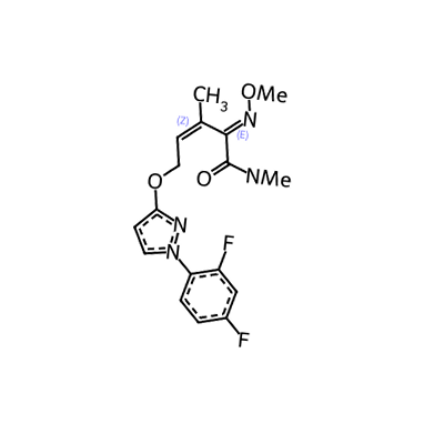 CNC(=O)C(=N/OC)/C(C)=C\COc1ccn(-c2ccc(F)cc2F)n1